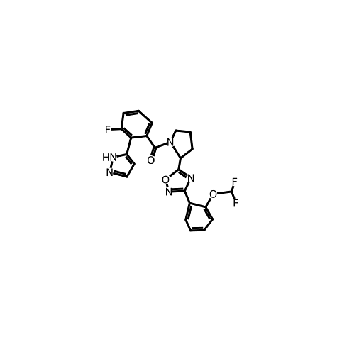 O=C(c1cccc(F)c1-c1ccn[nH]1)N1CCCC1c1nc(-c2ccccc2OC(F)F)no1